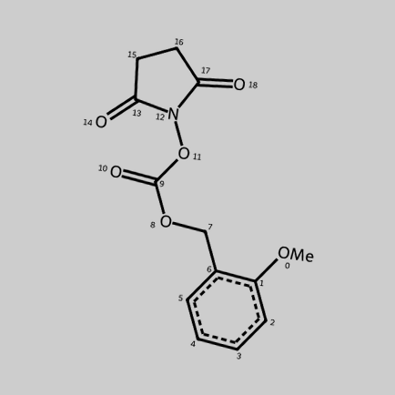 COc1ccccc1COC(=O)ON1C(=O)CCC1=O